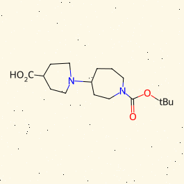 CC(C)(C)OC(=O)N1CCCC(N2CCC(C(=O)O)CC2)CC1